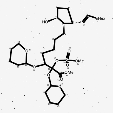 CCCCCCC=C[C@H]1CC[C@H](O)[C@@H]1CCCCC(OC1CCCCO1)C(OC1CCCCO1)(OS(=O)(=O)OC)C(=O)OC